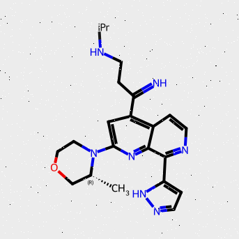 CC(C)NCCC(=N)c1cc(N2CCOC[C@H]2C)nc2c(-c3ccn[nH]3)nccc12